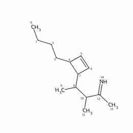 CCCCC1C=CC1C(C)C(C)C(C)=N